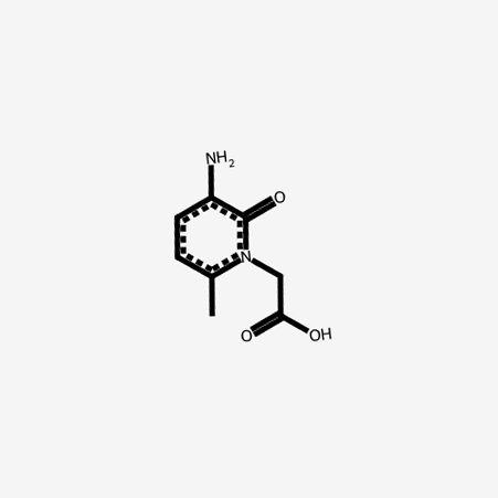 Cc1ccc(N)c(=O)n1CC(=O)O